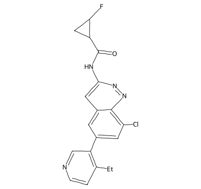 CCc1ccncc1-c1cc(Cl)c2nnc(NC(=O)C3CC3F)cc2c1